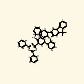 CC1(C)c2ccccc2-c2cc3c4ccccc4n(-c4ccccc4-c4cc(-c5nc(-c6ccccc6)nc(-c6ccccc6)n5)c5sc6ccccc6c5c4)c3cc21